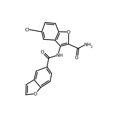 NC(=O)c1oc2ccc(Cl)cc2c1NC(=O)c1ccc2occc2c1